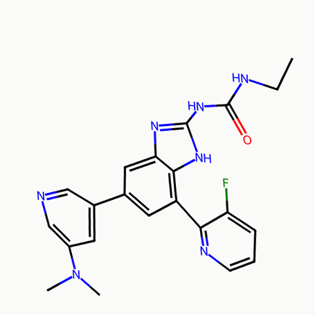 CCNC(=O)Nc1nc2cc(-c3cncc(N(C)C)c3)cc(-c3ncccc3F)c2[nH]1